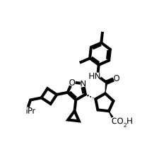 Cc1ccc(NC(=O)[C@H]2C[C@@H](C(=O)O)C[C@@H]2c2noc(C3CC(CC(C)C)C3)c2C2CC2)c(C)c1